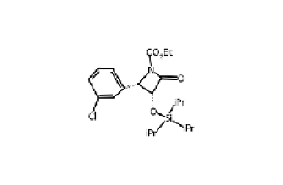 CCOC(=O)N1C(=O)[C@H](O[Si](C(C)C)(C(C)C)C(C)C)[C@@H]1c1cccc(Cl)c1